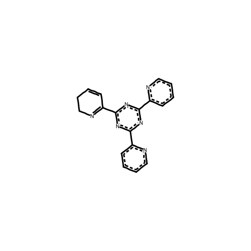 C1=CC(c2nc(-c3ccccn3)nc(-c3ccccn3)n2)=NCC1